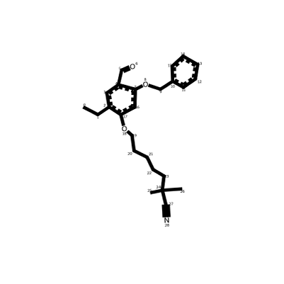 CCc1cc(C=O)c(OCc2ccccc2)cc1OCCCCCC(C)(C)C#N